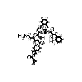 CC(C)C[C@@H](NC(=O)[C@@H](Cc1ccccc1)NC(=O)[C@H](N)Cc1ccccc1)C(=O)N[C@H](CCCCN)C(=O)N1CCC2(CC1)CN(C(=O)C1CC1)C2